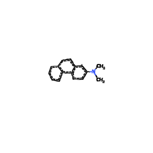 CN(C)c1[c]c2ccc3ccccc3c2cc1